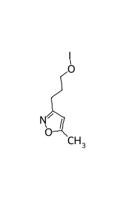 Cc1cc(CCCOI)no1